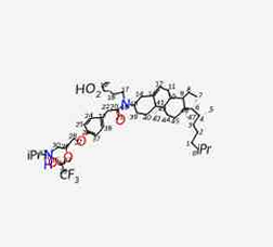 CC(C)CCC[C@@H](C)[C@H]1CCC2C3CC=C4CC(N(CCC(=O)O)C(=O)Cc5ccc(OCC(CNC(C)C)OC(=O)C(F)(F)F)cc5)CC[C@]4(C)C3CC[C@@]21C